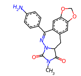 CN1C(=O)C2Cc3cc4c(cc3C(c3ccc(N)cc3)=NN2C1=O)OCO4